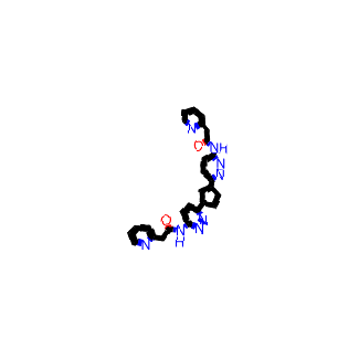 O=C(Cc1ccccn1)Nc1ccc(C2CCC(c3ccc(NC(=O)Cc4ccccn4)nn3)C2)nn1